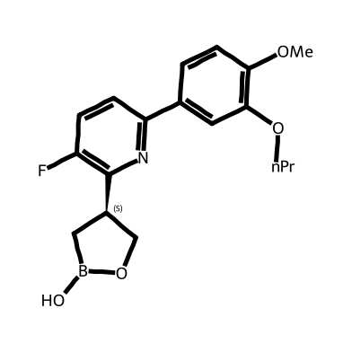 CCCOc1cc(-c2ccc(F)c([C@H]3COB(O)C3)n2)ccc1OC